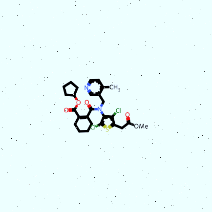 COC(=O)Cc1sc(Cl)c(N(Cc2cnccc2C)C(=O)C2=C(C(=O)OC3CCCC3)CCCC2)c1Cl